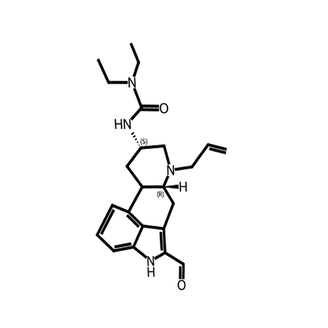 C=CCN1C[C@@H](NC(=O)N(CC)CC)CC2c3cccc4[nH]c(C=O)c(c34)C[C@H]21